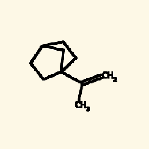 C=C(C)C12CCC(CC1)C2